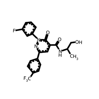 CC(CO)NC(=O)c1cc(-c2ccc(C(F)(F)F)cc2)nn(-c2cccc(F)c2)c1=O